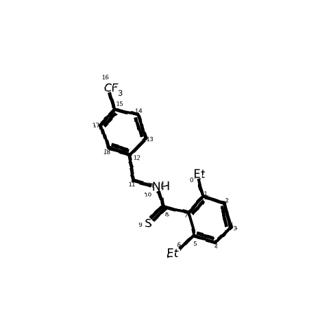 CCc1cccc(CC)c1C(=S)NCc1ccc(C(F)(F)F)cc1